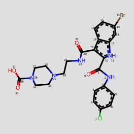 O=C(Nc1ccc(Cl)cc1)c1[nH]c2cc(Br)ccc2c1C(=O)NCCN1CCN(C(=O)O)CC1